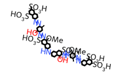 COc1cc(N=Nc2ccc3cc(S(=O)(=O)O)cc(S(=O)(=O)O)c3c2)c(C)cc1N=Nc1c(S(=O)(=O)O)cc2cc(Nc3ccc4c(OC)c(N=Nc5cc(C)c(N=Nc6ccc7cc(S(=O)(=O)O)cc(S(=O)(=O)O)c7c6)cc5O)c(S(=O)(=O)O)cc4c3)ccc2c1O